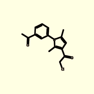 CC(=O)c1cccc(-n2c(C)cc(C(=O)CCl)c2C)c1